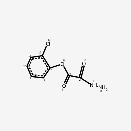 NNC(=O)C(=O)Oc1ccccc1Cl